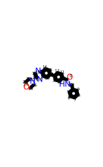 O=C(NCc1ccccc1)c1ccc(-c2ccc3ncc(N4CCOCC4)nc3c2)cc1